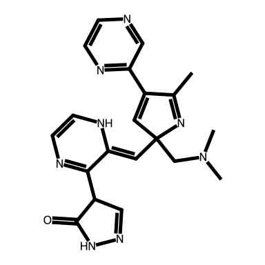 CC1=NC(C=C2NC=CN=C2C2C=NNC2=O)(CN(C)C)C=C1c1cnccn1